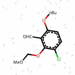 CCCCOc1ccc(Cl)c(OCOC)c1C=O